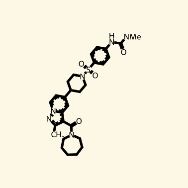 CNC(=O)Nc1ccc(S(=O)(=O)N2CCC(c3ccn4nc(C)c(C(=O)N5CCCCCC5)c4c3)CC2)cc1